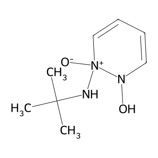 CC(C)(C)N[N+]1([O-])C=CC=CN1O